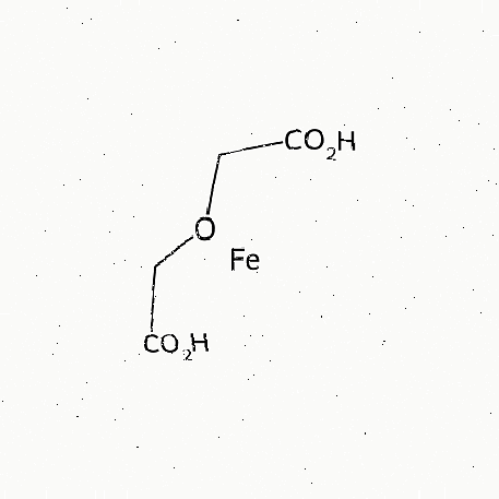 O=C(O)COCC(=O)O.[Fe]